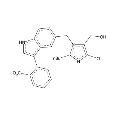 CCCCc1nc(Cl)c(CO)n1Cc1ccc2[nH]cc(-c3ccccc3C(=O)O)c2c1